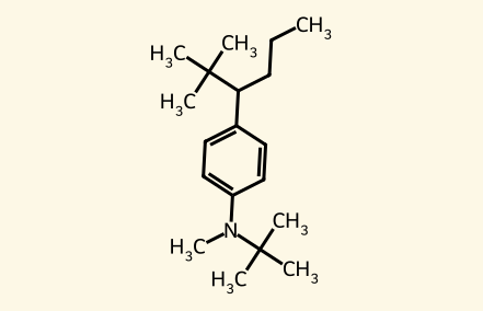 CCCC(c1ccc(N(C)C(C)(C)C)cc1)C(C)(C)C